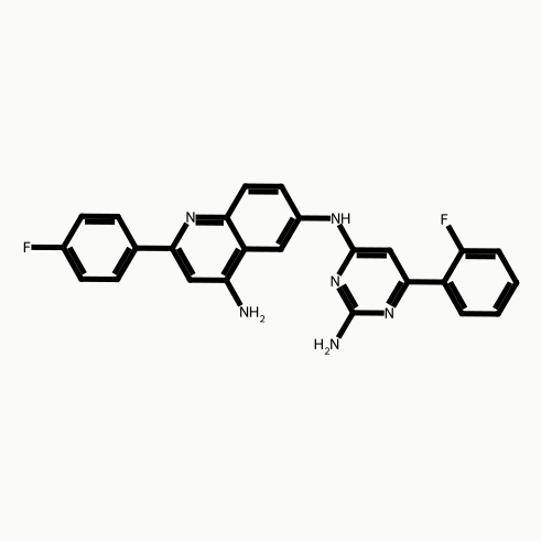 Nc1nc(Nc2ccc3nc(-c4ccc(F)cc4)cc(N)c3c2)cc(-c2ccccc2F)n1